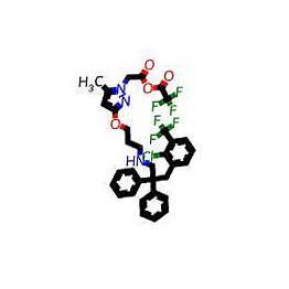 Cc1cc(OCCCNCC(Cc2cccc(C(F)(F)F)c2Cl)(c2ccccc2)c2ccccc2)nn1CC(=O)OC(=O)C(F)(F)F